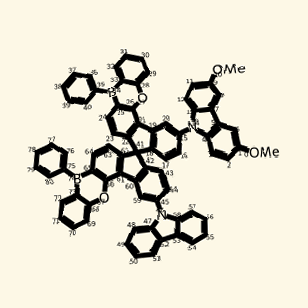 COc1ccc2c(c1)c1cc(OC)ccc1n2-c1ccc2c(c1)-c1c(ccc3c1Oc1ccccc1B3c1ccccc1)C21c2ccc(-n3c4ccccc4c4ccccc43)cc2-c2c1ccc1c2Oc2ccccc2B1c1ccccc1